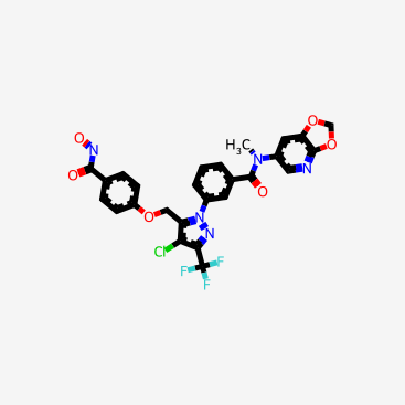 CN(C(=O)c1cccc(-n2nc(C(F)(F)F)c(Cl)c2COc2ccc(C(=O)N=O)cc2)c1)c1cnc2c(c1)OCO2